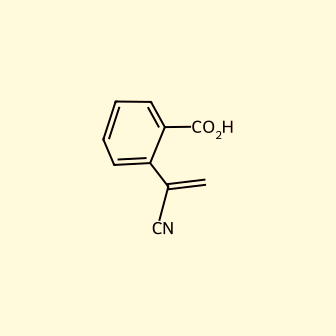 C=C(C#N)c1ccccc1C(=O)O